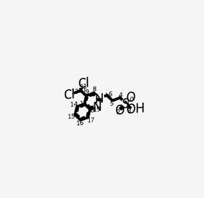 O=S(=O)(O)CCC[n+]1cc(C(Cl)Cl)c2ccccc2n1